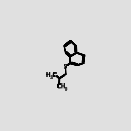 CC(C)CSc1cccc2ccccc12